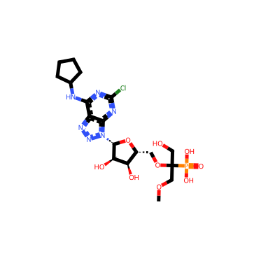 COCC(CO)(OC[C@H]1O[C@@H](n2nnc3c(NC4CCCC4)nc(Cl)nc32)[C@H](O)[C@@H]1O)P(=O)(O)O